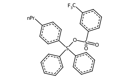 CCCc1ccc(S(OS(=O)(=O)c2cccc(C(F)(F)F)c2)(c2ccccc2)c2ccccc2)cc1